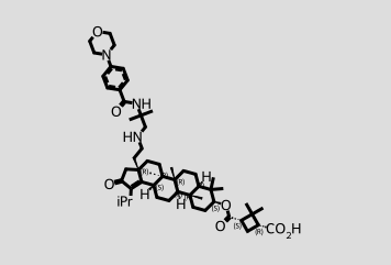 CC(C)C1=C2[C@H]3CC[C@@H]4[C@@]5(C)CC[C@H](OC(=O)[C@H]6C[C@@H](C(=O)O)C6(C)C)C(C)(C)[C@@H]5CC[C@@]4(C)[C@]3(C)CC[C@@]2(CCNCC(C)(C)NC(=O)c2ccc(N3CCOCC3)cc2)CC1=O